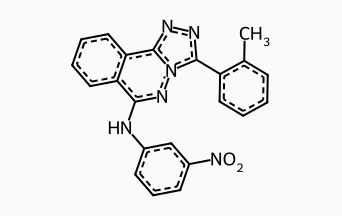 Cc1ccccc1-c1nnc2c3ccccc3c(Nc3cccc([N+](=O)[O-])c3)nn12